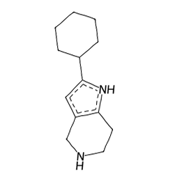 c1c(C2CCCCC2)[nH]c2c1CNCC2